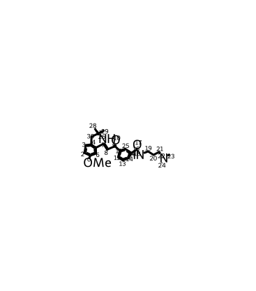 COc1ccc2c(c1)C(=CC(=O)c1cccc(C(=O)NCCCN(C)C)c1)NC(C)(C)C2